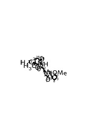 COc1ccccc1N1CCN(CCC(=O)NN2C(=O)CCC(C)(C)C2=O)CC1=O